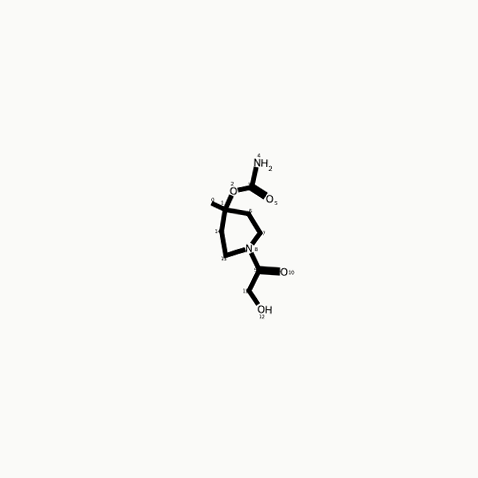 CC1(OC(N)=O)CCN(C(=O)CO)CC1